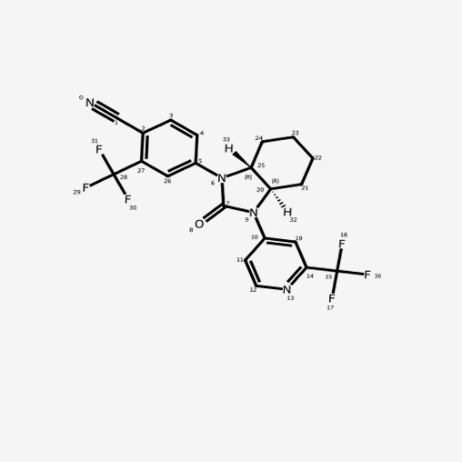 N#Cc1ccc(N2C(=O)N(c3ccnc(C(F)(F)F)c3)[C@@H]3CCCC[C@H]32)cc1C(F)(F)F